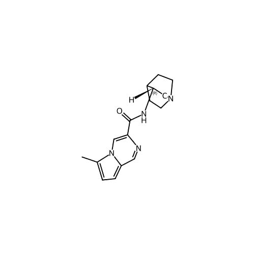 Cc1ccc2cnc(C(=O)N[C@H]3CN4CCC3CC4)cn12